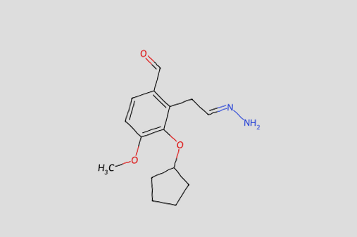 COc1ccc(C=O)c(C/C=N/N)c1OC1CCCC1